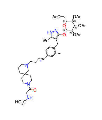 CC(=O)OC[C@H]1O[C@@H](Oc2n[nH]c(C(C)C)c2Cc2ccc(/C=C/CCN3CCCC4(CCN(C(=O)CNC(=O)O)CC4)C3)cc2C)[C@H](OC(C)=O)[C@@H](OC(C)=O)[C@@H]1OC(C)=O